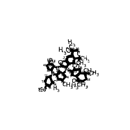 Cc1cc2c3c(c1)N(c1cc4c(cc1C)C(C)(C)CCC4(C)C)c1c(oc4cc5c(cc14)C(C)(C)CCC5(C)C)B3c1cc(C(C)(C)C)ccc1N2c1ccc(C(C)(C)C)cc1C